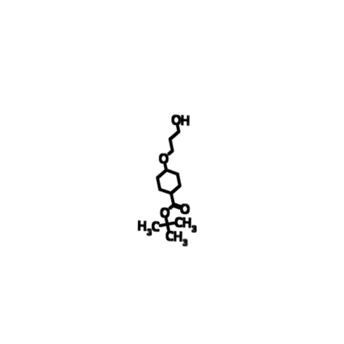 CC(C)(C)OC(=O)C1CCC(OCCCO)CC1